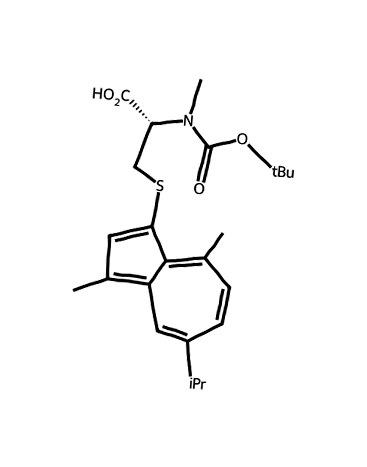 Cc1cc(SC[C@H](C(=O)O)N(C)C(=O)OC(C)(C)C)c2c(C)ccc(C(C)C)cc1-2